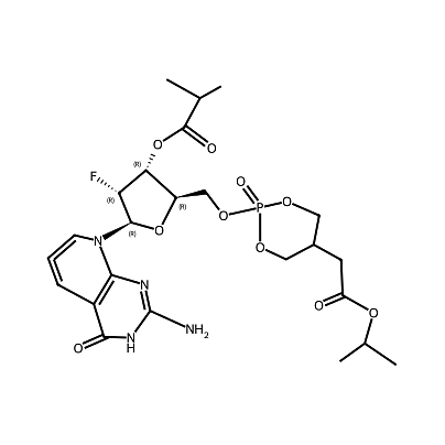 CC(C)OC(=O)CC1COP(=O)(OC[C@H]2O[C@@H](N3C=C=Cc4c3nc(N)[nH]c4=O)[C@H](F)[C@@H]2OC(=O)C(C)C)OC1